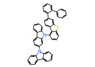 c1ccc(-c2ccccc2-c2ccc3c(c2)sc2cccc(-n4c5ccccc5c5ccc(-n6c7ccccc7c7ccccc76)cc54)c23)cc1